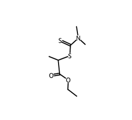 CCOC(=O)C(C)SC(=S)N(C)C